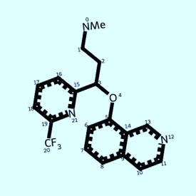 CNCCC(Oc1cccc2ccncc12)c1cccc(C(F)(F)F)n1